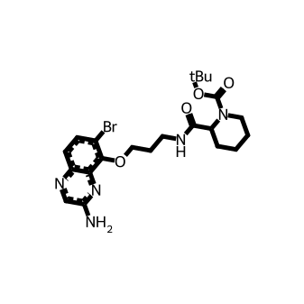 CC(C)(C)OC(=O)N1CCCCC1C(=O)NCCCOc1c(Br)ccc2ncc(N)nc12